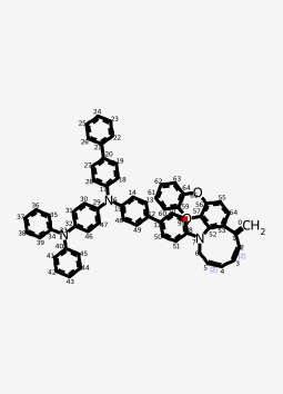 C=C1/C=C\C=C/CN(c2ccc(-c3ccc(N(c4ccc(-c5ccccc5)cc4)c4ccc(N(c5ccccc5)c5ccccc5)cc4)cc3)cc2)c2c1ccc1c2Oc2ccccc2O1